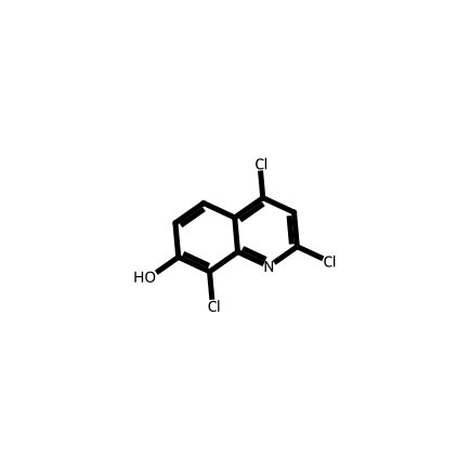 Oc1ccc2c(Cl)cc(Cl)nc2c1Cl